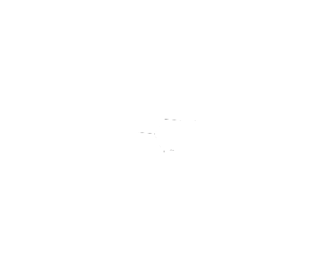 [CH2]CCCC(CCCCC)CCCCCCCC